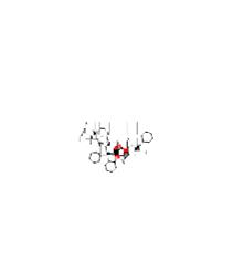 CC1(C2CN(C(c3ccccc3)(c3ccccc3)c3ccccc3-n3ccc(NC(=O)c4ccccc4)nc3=O)CCO2)CNCCO1